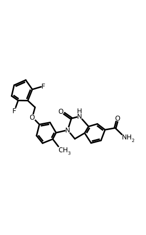 Cc1ccc(OCc2c(F)cccc2F)cc1N1Cc2ccc(C(N)=O)cc2NC1=O